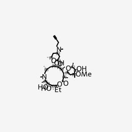 C#CCCN(C)[C@@H]1C[C@H](O[C@@H]2[C@@H](C)C([C@H]3C[C@@](C)(OC)[C@@H](O)[C@H](C)O3)[C@@H](C)C(=O)O[C@H](CC)[C@@](C)(O)[C@H](O)[C@@H](C)N(C)C[C@H](C)C[C@@]2(C)O)O[C@H](C)C1